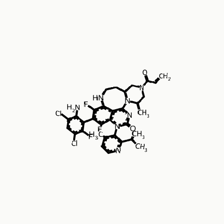 C=CC(=O)N1CC(C)N2c3nc(=O)n(-c4c(C)ccnc4C(C)C)c4c(F)c(-c5c(N)c(Cl)cc(Cl)c5F)c(F)c(c34)NCCC2C1